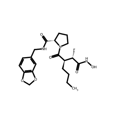 CCCC[C@@H](C(=O)N1CCC[C@H]1C(=O)NCc1ccc2c(c1)OCO2)[C@H](F)C(=O)NO